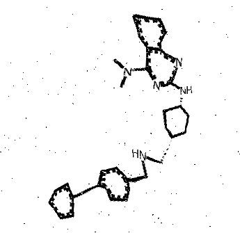 CN(C)c1nc(N[C@H]2CC[C@@H](CNCc3ccc(-c4ccccc4)cc3)CC2)nc2ccccc12